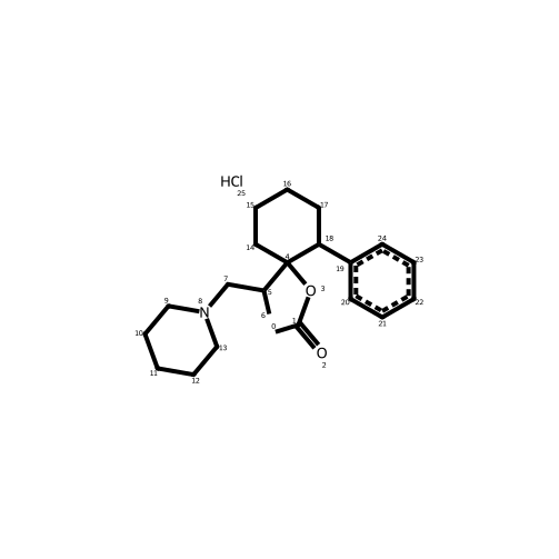 CC(=O)OC1(C(C)CN2CCCCC2)CCCCC1c1ccccc1.Cl